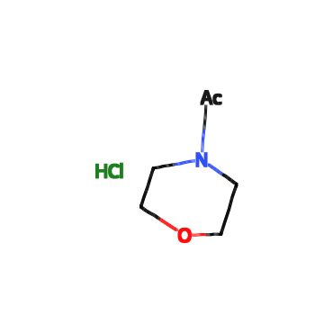 CC(=O)N1CCOCC1.Cl